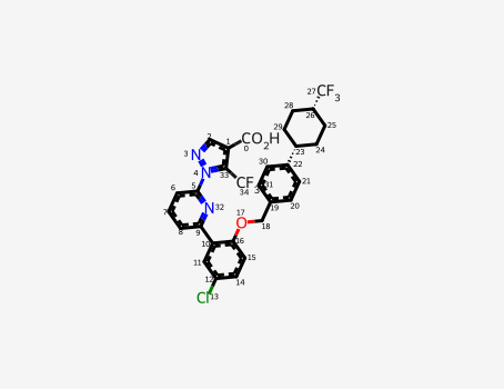 O=C(O)c1cnn(-c2cccc(-c3cc(Cl)ccc3OCc3ccc([C@H]4CC[C@@H](C(F)(F)F)CC4)cc3)n2)c1C(F)(F)F